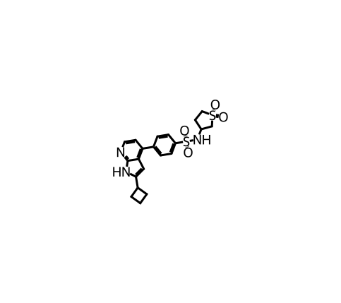 O=S1(=O)CCC(NS(=O)(=O)c2ccc(-c3ccnc4[nH]c(C5CCC5)cc34)cc2)C1